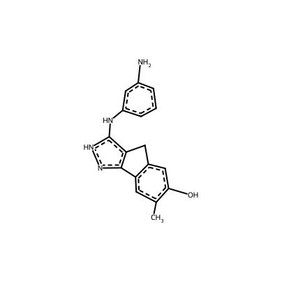 Cc1cc2c(cc1O)Cc1c-2n[nH]c1Nc1cccc(N)c1